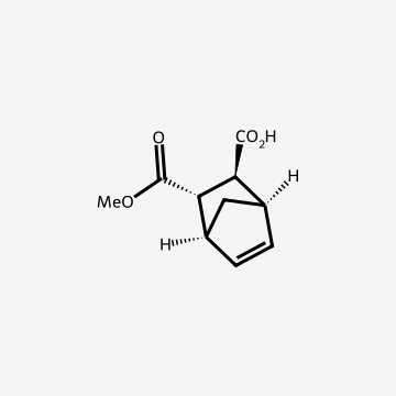 COC(=O)[C@@H]1[C@@H](C(=O)O)[C@H]2C=C[C@@H]1C2